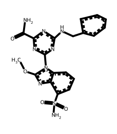 COc1nc2c(S(N)(=O)=O)cccc2n1-c1nc(NCc2ccccc2)nc(C(N)=O)n1